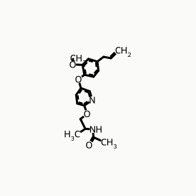 C=CCc1ccc(Oc2ccc(OCC(C)NC(C)=O)nc2)c(OC)c1